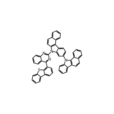 c1ccc2c(c1)ccc1c2c2ccc(-n3c4ccccc4c4ccc5ccccc5c43)cc2n1-c1nc(-c2cccc3c2sc2ccccc23)c2ccccc2n1